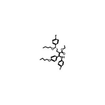 CCCCOc1ccc(/C(Nc2ccc(F)cc2)=C(\CC[C@H](OCCCC)c2ccc(F)cc2)C(=O)OCC)cc1